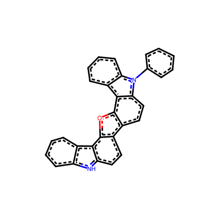 c1ccc(-n2c3ccccc3c3c4oc5c(ccc6[nH]c7ccccc7c65)c4ccc32)cc1